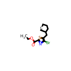 CCOC(=O)c1nc(Br)c(CC2CCCCC2)s1